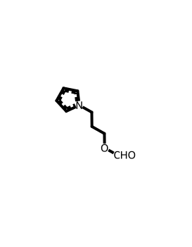 O=COCCCn1cccc1